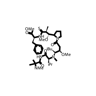 CC[C@H](C)[C@@H]([C@@H](CC(=O)N1CCCC1[C@H](OC)[C@H](C)C(=S)N[C@@H](Cc1ccccc1)C(=O)OC)OC)N(C)[C@H](C(=O)NC(=O)C(C)(C)NC)C(C)C